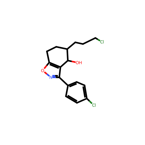 OC1c2c(-c3ccc(Cl)cc3)noc2CCC1CCCCl